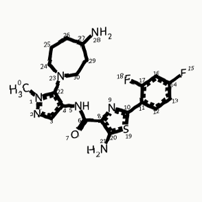 Cn1ncc(NC(=O)c2nc(-c3ccc(F)cc3F)sc2N)c1N1CCCC(N)CC1